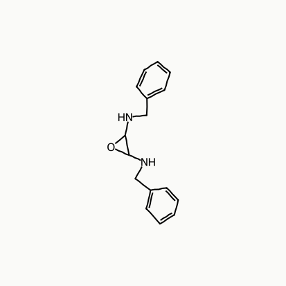 c1ccc(CNC2OC2NCc2ccccc2)cc1